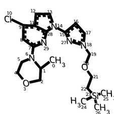 CC1COCCN1c1cc(Cl)c2ccn(-c3ccn(COCC[Si](C)(C)C)n3)c2n1